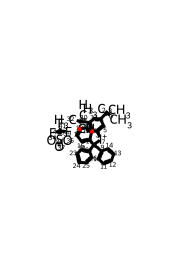 CC(C)(C)c1cc([I+]C(c2ccccc2)(c2ccccc2)c2ccccc2)cc(C(C)(C)C)c1.O=S(=O)([O-])C(F)(F)F